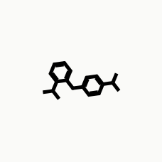 CC(C)c1ccc(Cc2ccccc2C(C)C)cc1